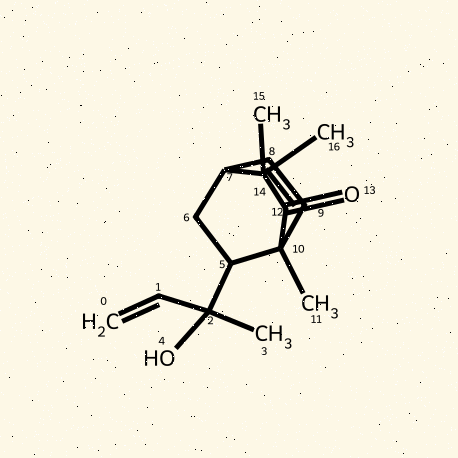 C=CC(C)(O)C1CC2C=CC1(C)C(=O)C2(C)C